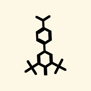 C=C1C(C(C)(C)C)=CC(c2ccc(C(C)C)cc2)C=C1C(C)(C)C